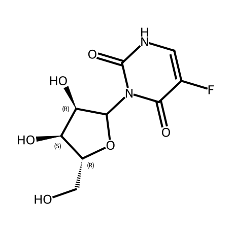 O=c1[nH]cc(F)c(=O)n1C1O[C@H](CO)[C@@H](O)[C@H]1O